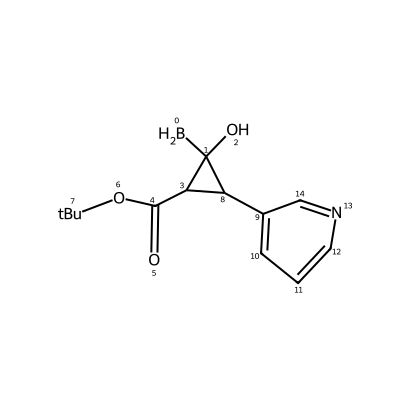 BC1(O)C(C(=O)OC(C)(C)C)C1c1cccnc1